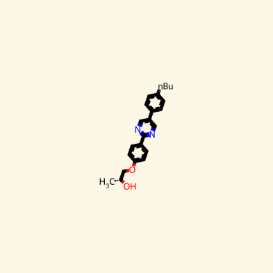 CCCCc1ccc(-c2cnc(-c3ccc(OC[C@@H](C)O)cc3)nc2)cc1